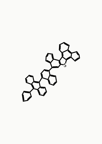 c1ccc(-c2c3ccccc3c(-c3ccc(-c4cc5sc6c7ccccc7c7ccccc7c6c5c5ccccc45)c4ccccc34)c3ccccc23)cc1